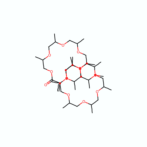 C=CC(=O)OCC(C)OCC(C)OCC(C)OCC(C)OCC(C)OCC(C)OCC(C)OCC(C)OCC(C)OCC(C)OCC(C)OCC(C)OCC(C)OC